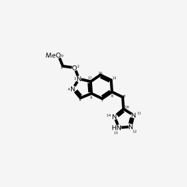 COCOn1ncc2cc(Cc3nn[nH]n3)ccc21